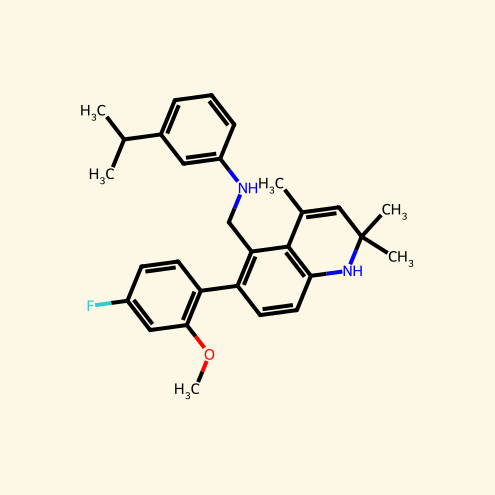 COc1cc(F)ccc1-c1ccc2c(c1CNc1cccc(C(C)C)c1)C(C)=CC(C)(C)N2